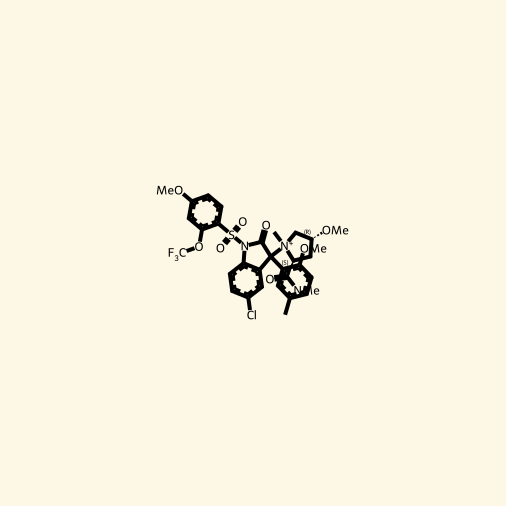 CNC(=O)[C@@H]1C[C@@H](OC)C[N+]1(C)C1(c2cc(C)ccc2OC)C(=O)N(S(=O)(=O)c2ccc(OC)cc2OC(F)(F)F)c2ccc(Cl)cc21